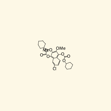 COc1c(OC)c(OC(=O)OC2CCCCC2)c2cc(Cl)ccc2c1OC(=O)OC1CCCCC1